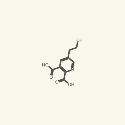 O=C(O)c1cc(CCO)cnc1C(=O)O